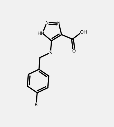 O=C(O)c1nn[nH]c1SCc1ccc(Br)cc1